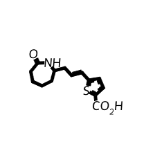 O=C1CCCCC(CC=Cc2ccc(C(=O)O)s2)N1